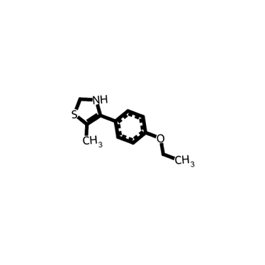 CCOc1ccc(C2=C(C)SCN2)cc1